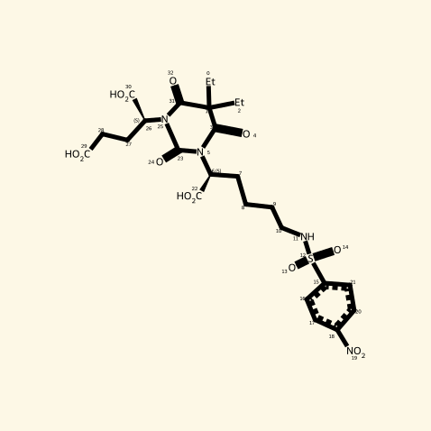 CCC1(CC)C(=O)N([C@@H](CCCCNS(=O)(=O)c2ccc([N+](=O)[O-])cc2)C(=O)O)C(=O)N([C@@H](CCC(=O)O)C(=O)O)C1=O